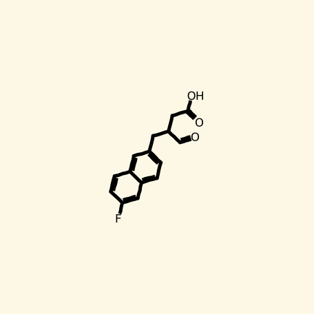 O=CC(CC(=O)O)Cc1ccc2cc(F)ccc2c1